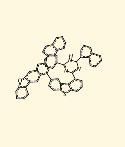 c1ccc(C2=NC(c3cccc4sc5ccc(-c6cc(-c7ccc8ccccc8c7)cc7cc8oc9ccccc9c8cc67)cc5c34)=NC(c3cccc4ccccc34)N2)cc1